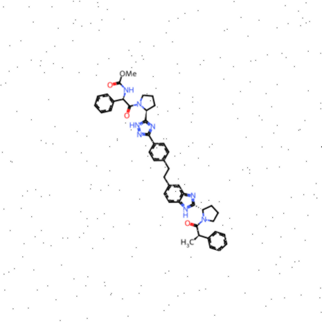 COC(=O)N[C@@H](C(=O)N1CCC[C@H]1c1nc(-c2ccc(CCc3ccc4[nH]c([C@@H]5CCCN5C(=O)[C@H](C)c5ccccc5)nc4c3)cc2)n[nH]1)c1ccccc1